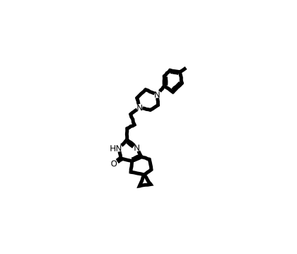 Cc1ccc(N2CCN(CCCc3nc4c(c(=O)[nH]3)CC3(CC4)CC3)CC2)cc1